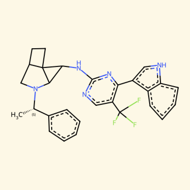 C[C@@H](c1ccccc1)N1CC2CCC23C(Nc2ncc(C(F)(F)F)c(-c4c[nH]c5ccccc45)n2)C13